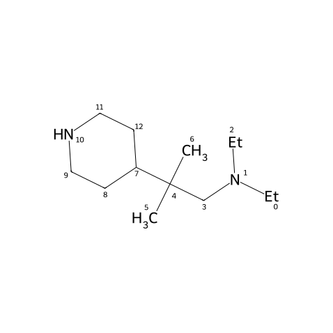 CCN(CC)CC(C)(C)C1CCNCC1